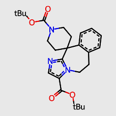 CC(C)(C)OC(=O)c1cnc2n1CCc1ccccc1C21CCN(C(=O)OC(C)(C)C)CC1